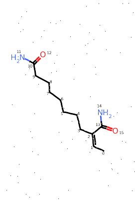 CC=C(CCCCCCCC(N)=O)C(N)=O